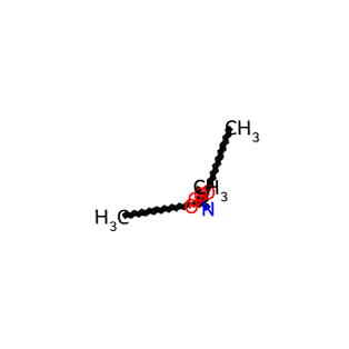 CCCCCC=CCC=CCCCCCCCCOCCC(C#N)(CCOCCCCCCCCC=CCC=CCCCCC)C(=O)OCC